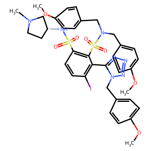 COc1ccc(CN(Cc2ccc(OC)cc2)S(=O)(=O)c2c(S(=O)(=O)N[C@@H]3CCN(C)C3)ccc(I)c2-c2nnnn2Cc2ccc(OC)cc2)cc1